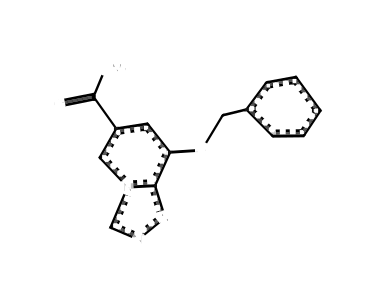 COC(=O)c1cc(OCc2ccccc2)c2nncn2c1